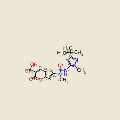 CN(C(=O)Nc1cc(C(C)(C)C)nn1C)c1cc2oc(=O)c(C(=O)O)cc2s1